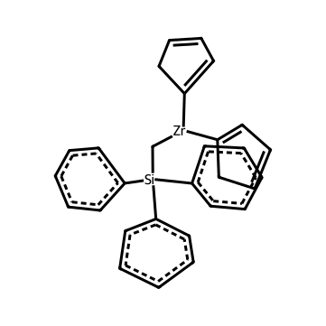 C1=CC[C]([Zr]([CH2][Si](c2ccccc2)(c2ccccc2)c2ccccc2)[C]2=CC=CC2)=C1